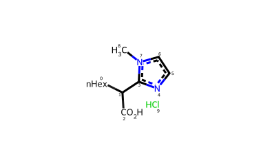 CCCCCCC(C(=O)O)c1nccn1C.Cl